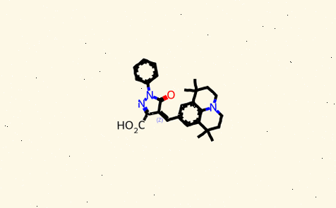 CC1(C)CCN2CCC(C)(C)c3cc(/C=C4\C(=O)N(c5ccccc5)N=C4C(=O)O)cc1c32